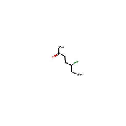 CCCCCCC(Br)CCC(=O)OC